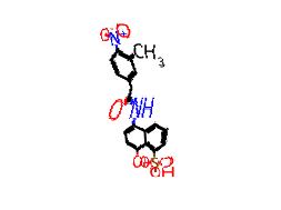 Cc1cc(C(=O)Nc2ccc(O)c3c(S(=O)(=O)O)cccc23)ccc1[N+](=O)[O-]